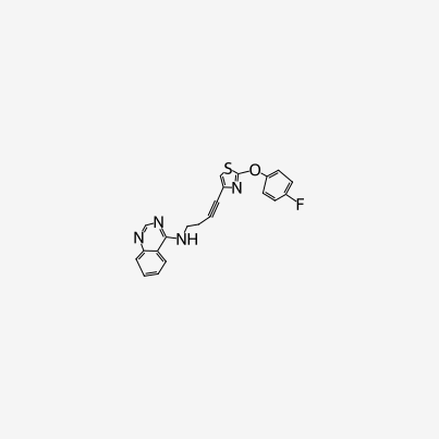 Fc1ccc(Oc2nc(C#CCCNc3ncnc4ccccc34)cs2)cc1